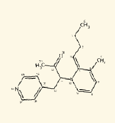 CCC/C=C1\C(C)=CC=CN1C(Cc1ccncc1)C(C)=O